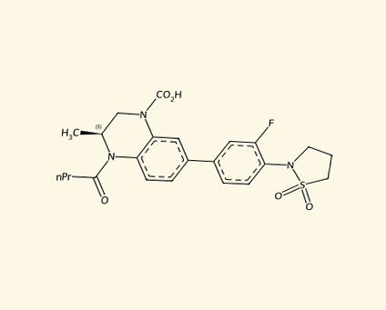 CCCC(=O)N1c2ccc(-c3ccc(N4CCCS4(=O)=O)c(F)c3)cc2N(C(=O)O)C[C@@H]1C